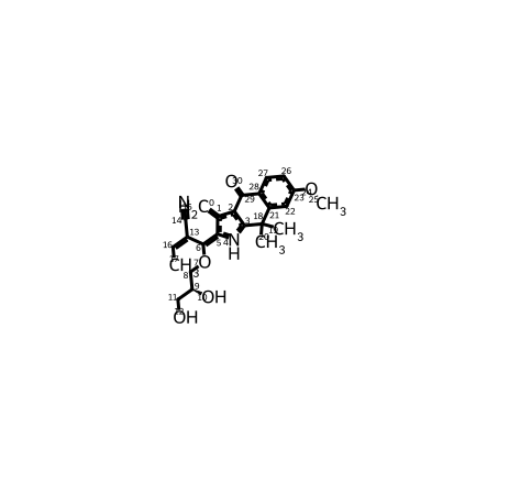 C=c1c2c([nH]/c1=C(OC[C@@H](O)CO)/C(C#N)=C\C)C(C)(C)c1cc(OC)ccc1C2=O